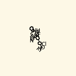 CCN(CC)C(=O)c1ccc(-c2ccc(OC(F)(F)F)c(C(=O)NC(CC#N)Cc3c[nH]c4ccccc34)c2)cc1Cl